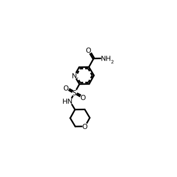 NC(=O)c1ccc(S(=O)(=O)NC2CCOCC2)nc1